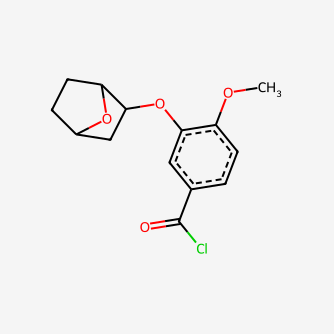 COc1ccc(C(=O)Cl)cc1OC1CC2CCC1O2